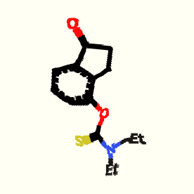 CCN(CC)C(=S)Oc1cccc2c1CCC2=O